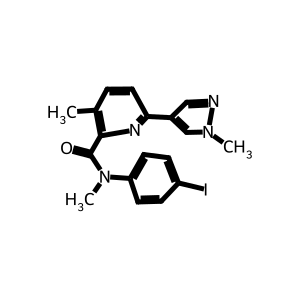 Cc1ccc(-c2cnn(C)c2)nc1C(=O)N(C)c1ccc(I)cc1